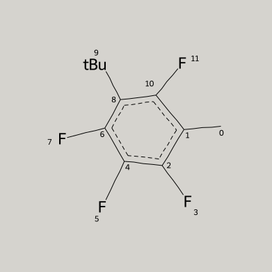 Cc1c(F)c(F)c(F)c(C(C)(C)C)c1F